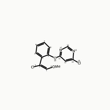 CO/C=C(/Cl)c1ccccc1Oc1cc(Cl)ncn1